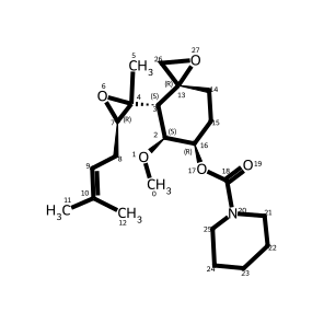 CO[C@H]1[C@H](C2(C)O[C@@H]2CC=C(C)C)[C@]2(CC[C@H]1OC(=O)N1CCCCC1)CO2